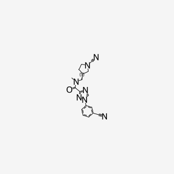 CN(C[C@H]1CCN(C#N)C1)C(=O)c1ncn(-c2cccc(C#N)c2)n1